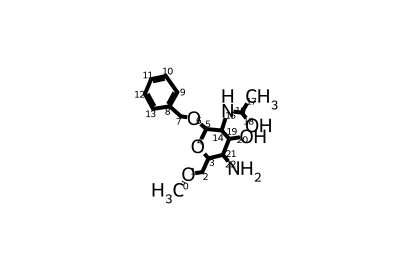 COCC1OC(OCc2ccccc2)C(NC(C)O)C(O)C1N